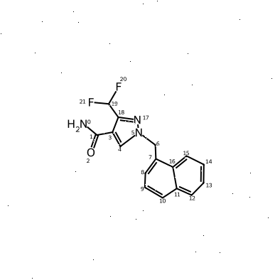 NC(=O)c1cn(Cc2cccc3ccccc23)nc1C(F)F